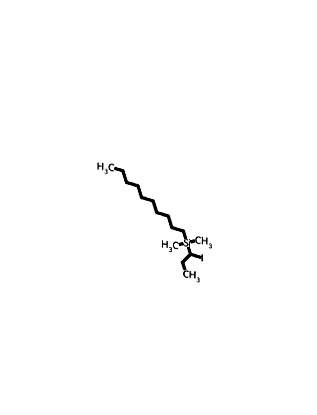 CCCCCCCCCC[Si](C)(C)C(I)CC